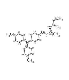 C=CC(=O)O[C@@H](C)COc1ccc(N(c2ccc(C)cc2)c2ccc(C)cc2)cc1